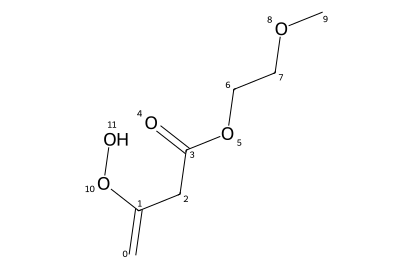 C=C(CC(=O)OCCOC)OO